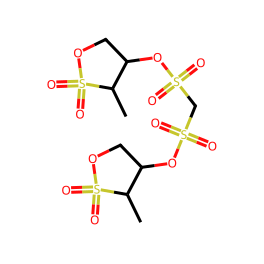 CC1C(OS(=O)(=O)CS(=O)(=O)OC2COS(=O)(=O)C2C)COS1(=O)=O